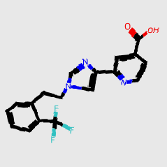 O=C(O)c1ccnc(-c2cn(CCc3ccccc3C(F)(F)F)cn2)c1